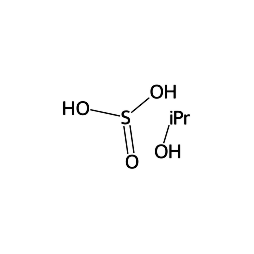 CC(C)O.O=S(O)O